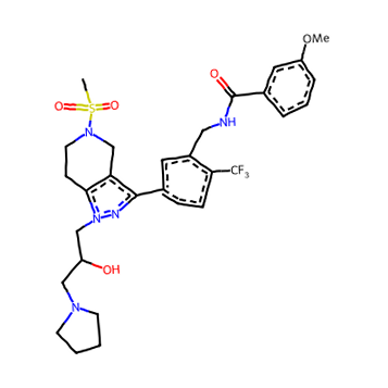 COc1cccc(C(=O)NCc2cc(-c3nn(CC(O)CN4CCCC4)c4c3CN(S(C)(=O)=O)CC4)ccc2C(F)(F)F)c1